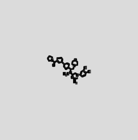 CN(C(=O)CN(CN)c1ccc(Cl)c(Cl)c1)C(CN1CCOCC1)c1ccc(-c2cccc(C(=O)N3CCCC3)c2)cc1